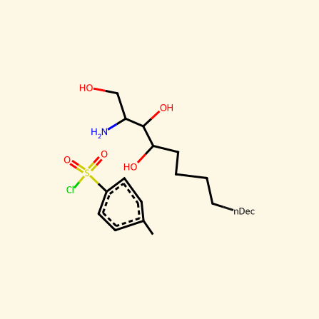 CCCCCCCCCCCCCCC(O)C(O)C(N)CO.Cc1ccc(S(=O)(=O)Cl)cc1